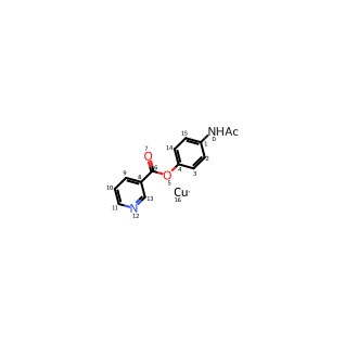 CC(=O)Nc1ccc(OC(=O)c2cccnc2)cc1.[Cu]